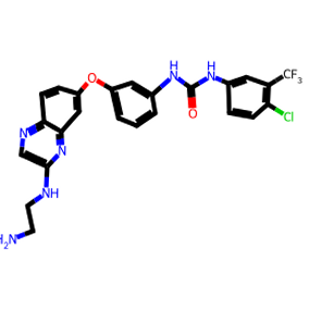 NCCNc1cnc2ccc(Oc3cccc(NC(=O)Nc4ccc(Cl)c(C(F)(F)F)c4)c3)cc2n1